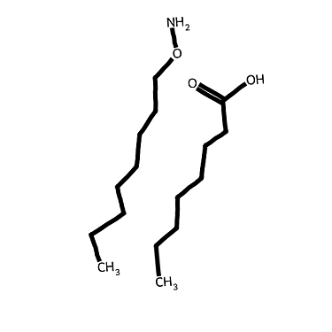 CCCCCCCC(=O)O.CCCCCCCCON